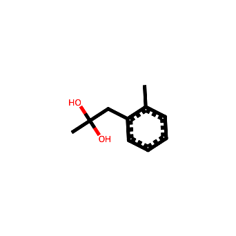 Cc1ccccc1CC(C)(O)O